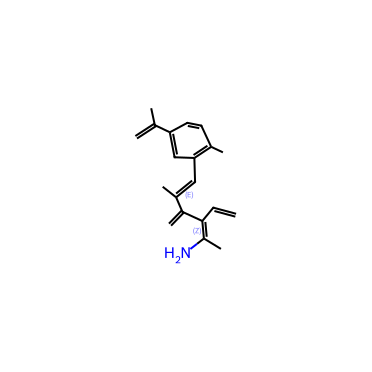 C=C/C(C(=C)/C(C)=C/c1cc(C(=C)C)ccc1C)=C(\C)N